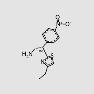 CCc1csc([C@H](CN)c2ccc([N+](=O)[O-])cc2)n1